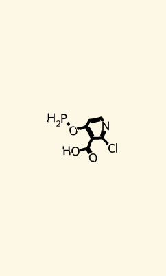 O=C(O)c1c(OP)ccnc1Cl